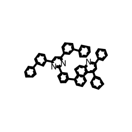 c1ccc(-c2cccc(-c3cc(-c4cccc(-c5ccccc5)c4)nc(-c4cccc(-c5cccc6c5ccc5nc(-c7ccccc7)cc(-c7ccccc7)c56)c4)n3)c2)cc1